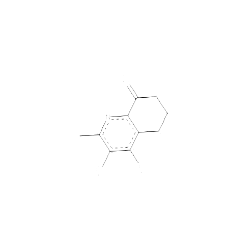 Cc1nc2c(c(Cl)c1Cl)CCCC2=O